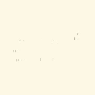 Cc1cc(-c2c(F)c(F)c(-c3cccc(CNC(C)C)c3)c(P)c2F)cc(C(=O)O)c1C